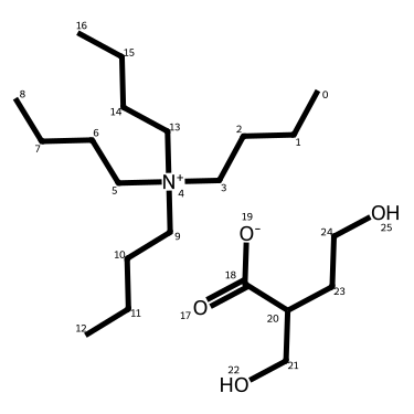 CCCC[N+](CCCC)(CCCC)CCCC.O=C([O-])C(CO)CCO